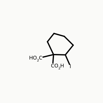 O=C(O)C1(C(=O)O)CCCCC1I